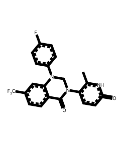 Cc1[nH]c(=O)ccc1N1CN(c2ccc(F)cc2)c2cc(C(F)(F)F)ccc2C1=O